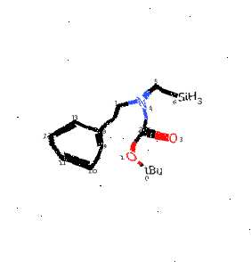 CC(C)(C)OC(=O)N(C[SiH3])Cc1ccccc1